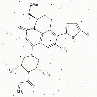 C=CC(=O)N1[C@H](C)CN(c2nc(=O)n3c4c(c(-c5ccc(Cl)s5)c(C(F)(F)F)cc24)SC[C@@H]3COC)C[C@@H]1C